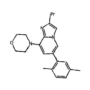 Cc1ccc(C)c(-c2cc(N3CCOCC3)c3nc(C(C)C)cn3c2)c1